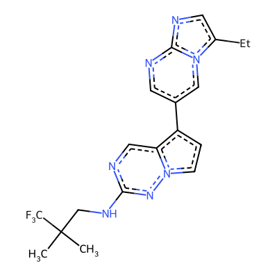 CCc1cnc2ncc(-c3ccn4nc(NCC(C)(C)C(F)(F)F)ncc34)cn12